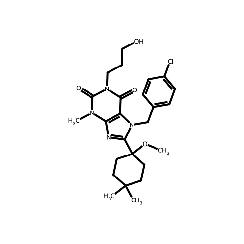 COC1(c2nc3c(c(=O)n(CCCO)c(=O)n3C)n2Cc2ccc(Cl)cc2)CCC(C)(C)CC1